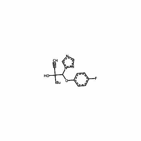 C#CC(O)(C(Oc1ccc(F)cc1)n1cncn1)C(C)(C)C